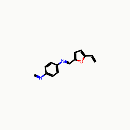 C=Cc1ccc(C=Nc2ccc(N=C)cc2)o1